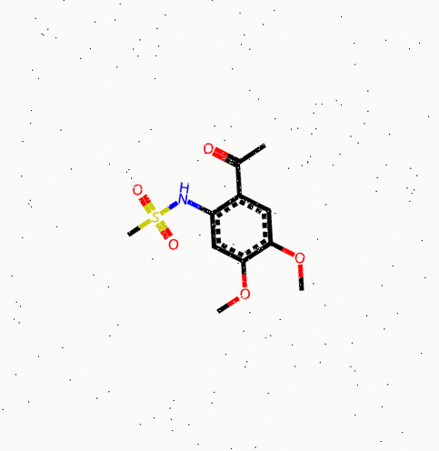 COc1cc(NS(C)(=O)=O)c(C(C)=O)cc1OC